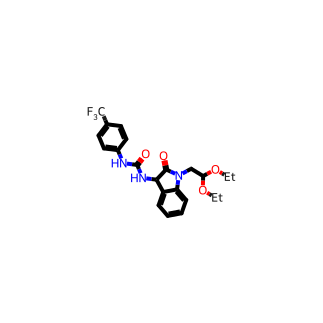 CCOC(CN1C(=O)C(NC(=O)Nc2ccc(C(F)(F)F)cc2)c2ccccc21)OCC